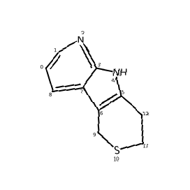 c1cnc2[nH]c3c(c2c1)CSCC3